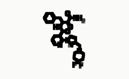 NC(=O)C(=O)C(Cc1ccccc1)NC(=O)c1cccnc1-n1ccc(CN2CCC(F)(F)CC2)n1